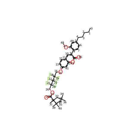 CCCCCc1ccc(-c2cc3ccc(OCC(F)(F)C(F)(F)C(F)(F)COC(=O)C(C)(CC(C)(C)C)C(C)(C)C)cc3oc2=O)c(OC)c1